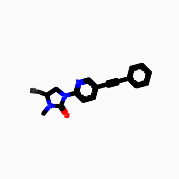 CN1C(=O)N(c2ccc(C#Cc3ccccc3)cn2)CC1C(C)(C)C